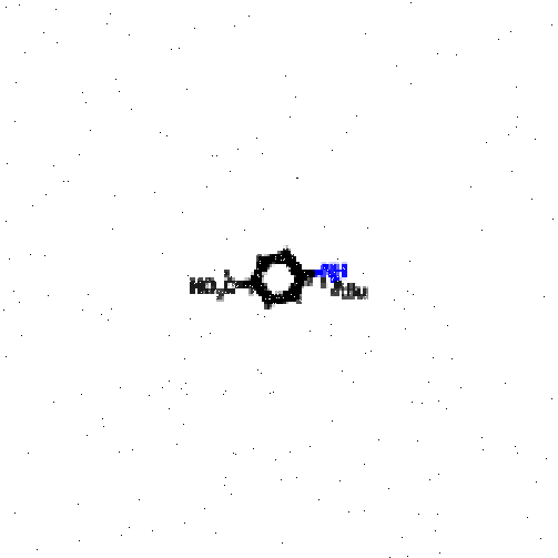 CC(C)(C)Nc1ccc(C(=O)O)cc1